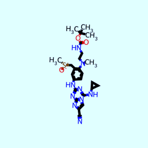 CN(CCNC(=O)OC(C)(C)C)c1ccc(Nc2nc(NC3CC3)n3cc(C#N)nc3n2)cc1C[S+](C)[O-]